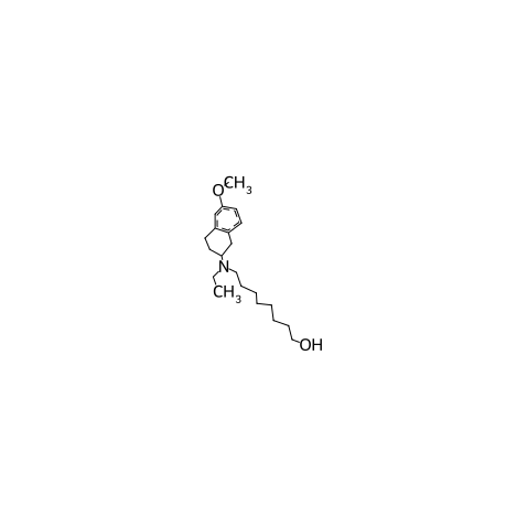 CCN(CCCCCCCCO)C1CCc2cc(OC)ccc2C1